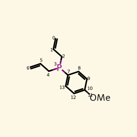 C=CCP(CC=C)c1ccc(OC)cc1